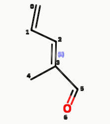 C=C/C=C(\C)C=O